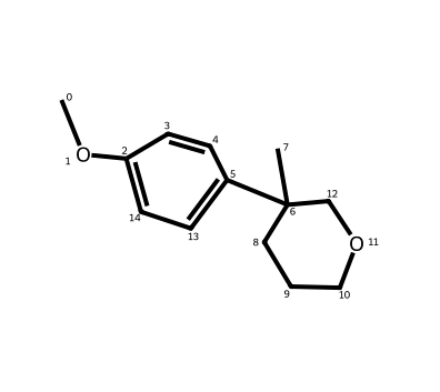 COc1ccc(C2(C)CCCOC2)cc1